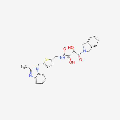 O=C(NCc1ccc(Cn2c(C(F)(F)F)nc3ccccc32)s1)[C@H](O)C(O)C(=O)N1Cc2ccccc2C1